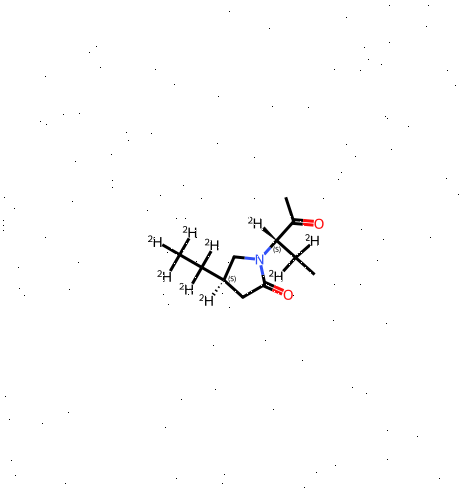 [2H]C([2H])([2H])C([2H])([2H])[C@]1([2H])CC(=O)N([C@]([2H])(C(C)=O)C([2H])([2H])C)C1